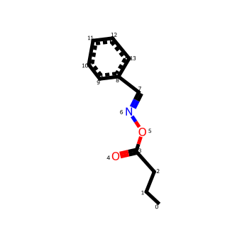 CCCC(=O)ON=Cc1ccccc1